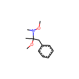 CON(C)C(C)(Cc1ccccc1)OC